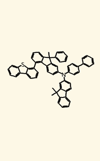 CC1(C)c2ccccc2-c2ccc(N(c3ccc(-c4ccccc4)cc3)c3ccc4c(c3)C(C)(c3ccccc3)c3cccc(-c5cccc6c5sc5ccccc56)c3-4)cc21